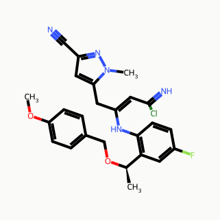 COc1ccc(CO[C@H](C)c2cc(F)ccc2N/C(=C\C(=N)Cl)Cc2cc(C#N)nn2C)cc1